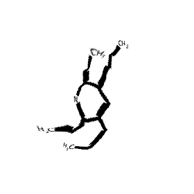 C=C/C=c1/cc(/C=C\C)c(C=C)n/c1=C/C